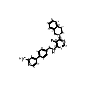 Cc1cc(-c2ccc(CNc3ncnc(N4CCc5ccccc5C4)c3F)cc2)ccn1